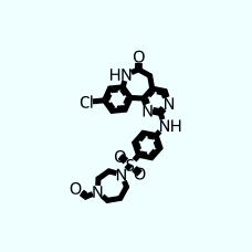 O=CN1CCCN(S(=O)(=O)c2ccc(Nc3ncc4c(n3)-c3ccc(Cl)cc3NC(=O)C4)cc2)CC1